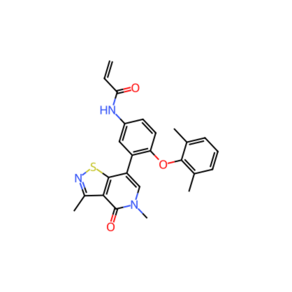 C=CC(=O)Nc1ccc(Oc2c(C)cccc2C)c(-c2cn(C)c(=O)c3c(C)nsc23)c1